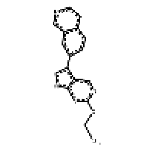 CCOc1ncc2c(-c3ccc4ncncc4c3)c[nH]c2n1